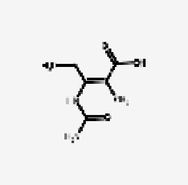 CCC(NC(N)=O)=C(C)C(=O)O